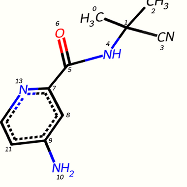 CC(C)(C#N)NC(=O)c1cc(N)ccn1